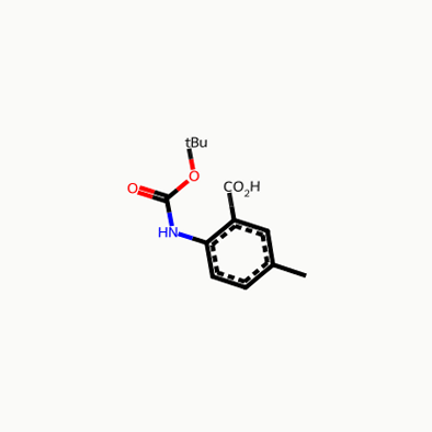 Cc1ccc(NC(=O)OC(C)(C)C)c(C(=O)O)c1